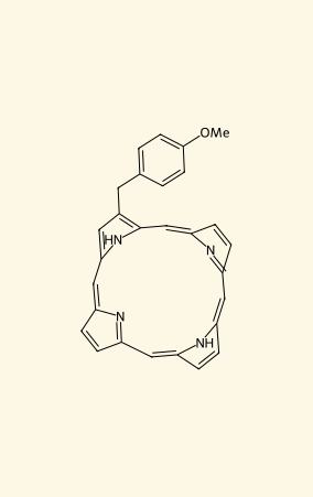 COc1ccc(Cc2cc3cc4nc(cc5ccc(cc6nc(cc2[nH]3)C=C6)[nH]5)C=C4)cc1